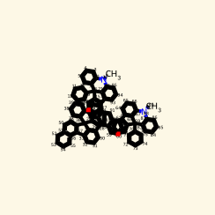 CN1c2ccccc2C(c2ccccc2)(c2ccccc2)c2c(-c3cccc4c(-c5cccc6c5C5(c7ccccc7-c7ccccc75)c5ccc7ccccc7c5-6)c5cccc(-c6cccc7c6C(c6ccccc6)(c6ccccc6)c6ccccc6N7C)c5cc34)cccc21